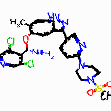 Cc1cc2[nH]nc(-c3ccc(N4CCN(S(C)(=O)=O)CC4)nc3)c2cc1O[C@H](N)c1c(Cl)cncc1Cl